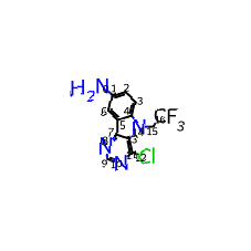 Nc1ccc2c(c1)c1ncnc(Cl)c1n2CC(F)(F)F